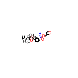 CC1(C)OB(c2cccc(NC(=O)OCC3CCOC3)c2)OC1(C)C